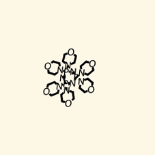 C1CN(P2(N3CCOCC3)=NP(N3CCOCC3)(N3CCOCC3)=NP(N3CCOCC3)(N3CCOCC3)=N2)CCO1